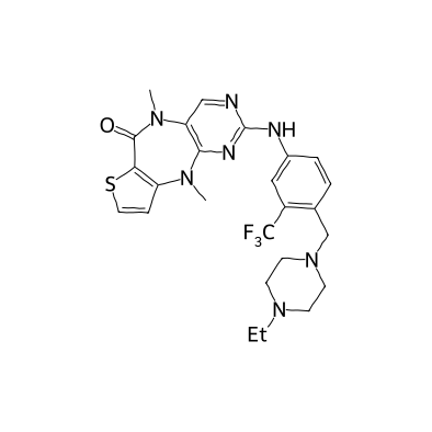 CCN1CCN(Cc2ccc(Nc3ncc4c(n3)N(C)c3ccsc3C(=O)N4C)cc2C(F)(F)F)CC1